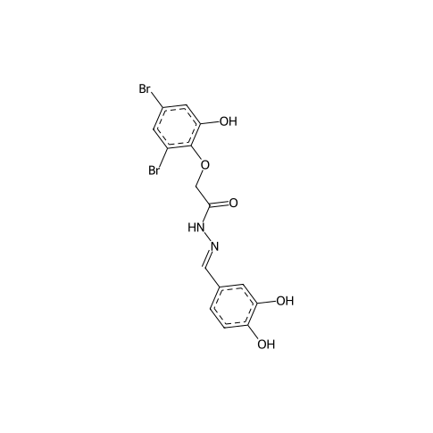 O=C(COc1c(O)cc(Br)cc1Br)N/N=C/c1ccc(O)c(O)c1